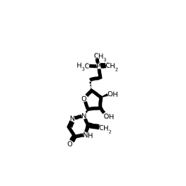 C=C1NC(=O)C=NN1[C@@H]1O[C@H](CCP(=C)(C)C)[C@@H](O)C1O